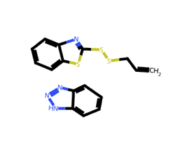 C=CCSSc1nc2ccccc2s1.c1ccc2[nH]nnc2c1